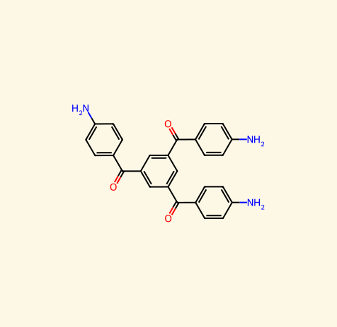 Nc1ccc(C(=O)c2cc(C(=O)c3ccc(N)cc3)cc(C(=O)c3ccc(N)cc3)c2)cc1